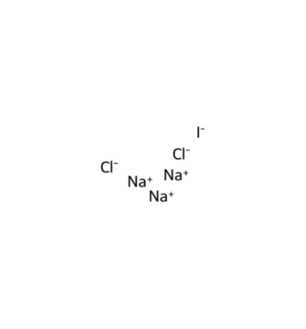 [Cl-].[Cl-].[I-].[Na+].[Na+].[Na+]